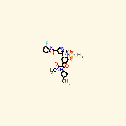 CNC(=O)c1c(-c2ccc(C)cc2)oc2cc(N(C)S(C)(=O)=O)c(-c3cncc(-c4nc5c(F)cccc5o4)c3)cc12